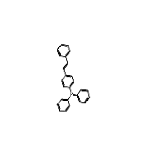 C(=Cc1ccc(P(c2ccccc2)c2ccccc2)cc1)c1ccccc1